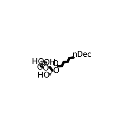 CCCCCCCCCCCCCCCC(=O)O[C@H](CO)COP(=O)(O)O